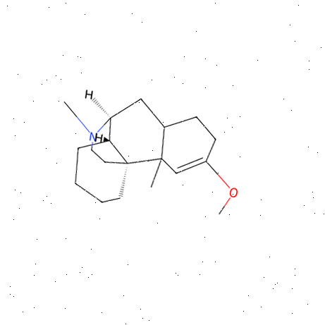 COC1=CC2(C)C(CC1)C[C@H]1[C@H]3CCCC[C@]32CCN1C